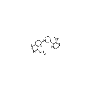 CN(C)c1nccnc1C1CCCN(c2ccc3ncnc(N)c3n2)C1